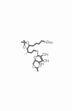 CCCCCCCCCCCCCCC1OC(C)(C)O[C@H]1[C@@H](C)CCS[C@@H]1OC2COC(C)O[C@@H]2C(O)=C1O